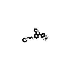 FC(F)(F)Oc1ccc(C2=c3ccc(OCCCN4CCCCC4)cc3=C3CCCN3C2)cc1